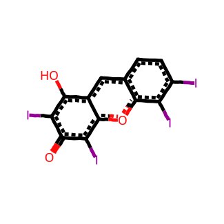 O=c1c(I)c2oc3c(I)c(I)ccc3cc-2c(O)c1I